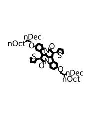 CCCCCCCCCCC(CCCCCCCC)COc1ccc2c(c1)c1c(-c3cccs3)c(=O)n3c4ccc(OCC(CCCCCCCC)CCCCCCCCCC)cc4c4c(-c5cccs5)c(=O)n2c1c43